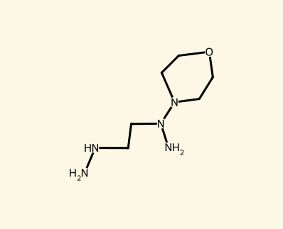 NNCCN(N)N1CCOCC1